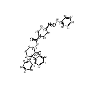 O=C(CN1CCCC(c2ccccc2)(c2ccccc2)C1=O)N1CCC(=NOCc2ccccc2)CC1